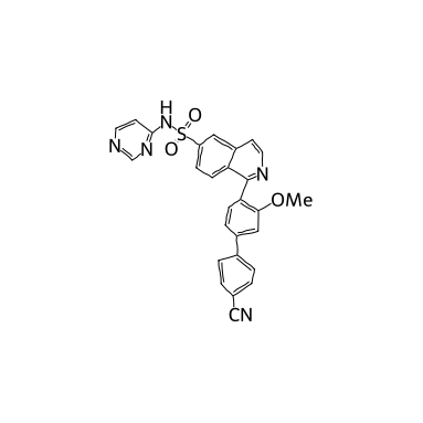 COc1cc(-c2ccc(C#N)cc2)ccc1-c1nccc2cc(S(=O)(=O)Nc3ccncn3)ccc12